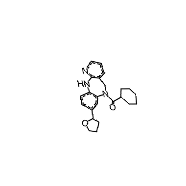 O=C(C1CCCCC1)N1Cc2cccnc2Nc2ccc(C3CCCO3)cc21